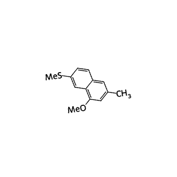 COc1cc(C)cc2ccc(SC)cc12